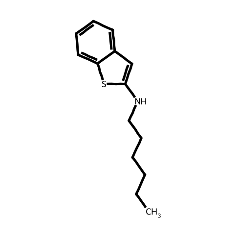 CCCCCCNc1cc2ccccc2s1